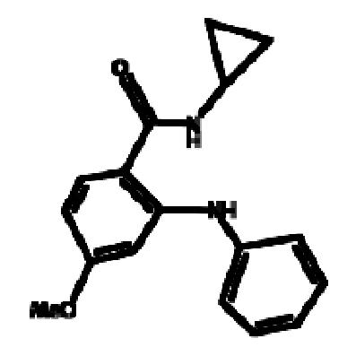 COc1ccc(C(=O)NC2CC2)c(Nc2ccccc2)c1